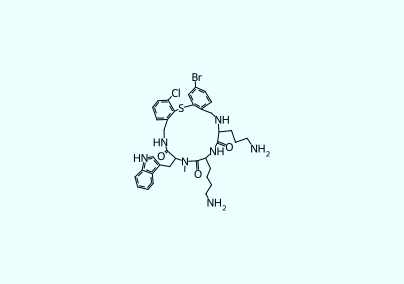 CN1C(=O)C(CCCCN)NC(=O)C(CCCN)NCc2ccc(Br)cc2Sc2c(Cl)cccc2CNC(=O)C1Cc1c[nH]c2ccccc12